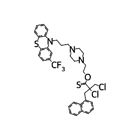 FC(F)(F)c1ccc2c(c1)N(CCCN1CCN(CCOC(=S)C(Cl)(CCl)Cc3cccc4ccccc34)CC1)c1ccccc1S2